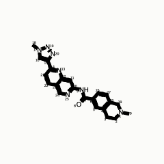 CN1CCc2cc(C(=O)Nc3cc4nc(-c5cn(C)nn5)ccc4cn3)ccc2C1